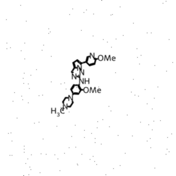 COc1ccc(-c2ccc3cnc(Nc4ccc(N5CCN(C)CC5)cc4OC)nn23)cn1